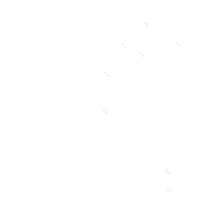 N#Cc1ncn(C(=O)N2CCN(C(c3ccc(-n4cccn4)cc3)c3ccc4c(c3)COCO4)CC2)n1